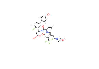 COc1cc(C)c(-c2cc(C)c(F)c(C(CC(=O)O)NC(=O)C(CC(C)C)n3cc(CCN4CC(OC)C4)c(C(F)(F)F)cc3=O)c2)c(C)c1